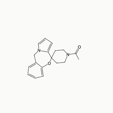 CC(=O)N1CCC2(CC1)Oc1ccccc1Cn1cccc12